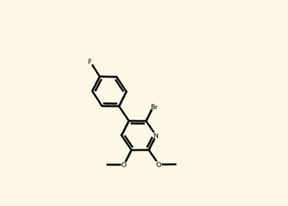 COc1cc(-c2ccc(F)cc2)c(Br)nc1OC